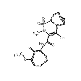 COc1ccccc(NC(=O)C2=C(O)c3ccccc3S(=O)(=O)N2C)c1=O